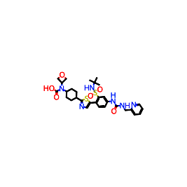 CC(C)(C)NS(=O)(=O)c1cc(NC(=O)NCc2ccccn2)ccc1-c1cnc(C2CCC(N(C(=O)O)C3COC3)CC2)s1